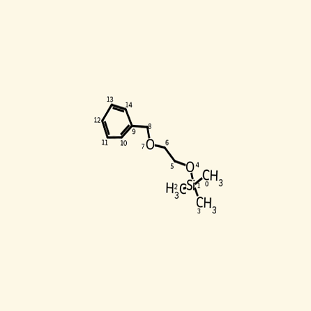 C[Si](C)(C)OCCOCc1ccccc1